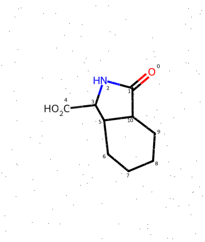 O=C1NC(C(=O)O)C2CCCCC12